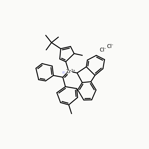 Cc1ccc(/[C](c2ccccc2)=[Zr+2](/[C]2=CC(C(C)(C)C)=CC2C)[CH]2c3ccccc3-c3ccccc32)cc1.[Cl-].[Cl-]